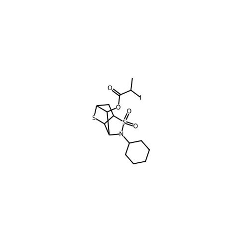 CC(I)C(=O)OC1C2CC3C(S2)C1N(C1CCCCC1)S3(=O)=O